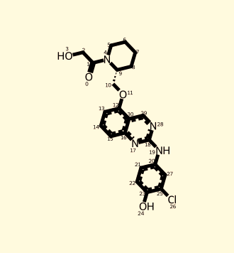 O=C(CO)N1CCCC[C@@H]1COc1cccc2nc(Nc3ccc(O)c(Cl)c3)ncc12